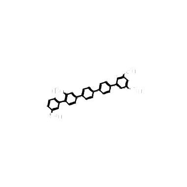 CC(C)(C)c1cccc(-c2ccc(-c3ccc(-c4ccc(-c5cc(C(C)(C)C)cc(C(C)(C)C)c5)cc4)cc3)cc2C(C)(C)C)c1